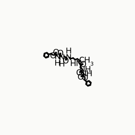 CC(CCCCNC(=O)CNC(=O)NC(=O)OCc1ccccc1)NC(=O)CNC(=O)NC(=O)OCc1ccccc1